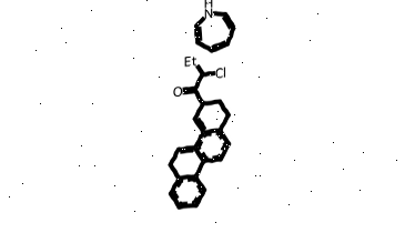 C1=CC=CNC=C1.CCC(Cl)C(=O)C1C=c2c(ccc3c2=CCc2ccccc2-3)CC1